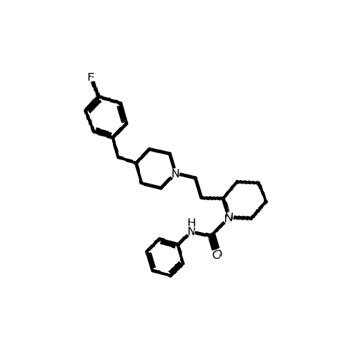 O=C(Nc1ccccc1)N1CCCCC1CCN1CCC(Cc2ccc(F)cc2)CC1